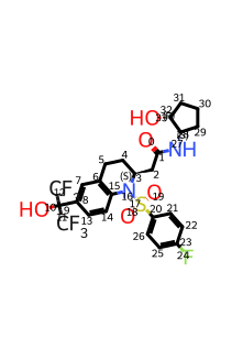 O=C(C[C@@H]1CCc2cc(C(O)(C(F)(F)F)C(F)(F)F)ccc2N1S(=O)(=O)c1ccc(F)cc1)N[C@H]1CCC[C@H]1O